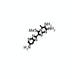 CSc1c(-c2nc3ncc(N)cc3s2)nc2nc(N)c(N)c(C)n12